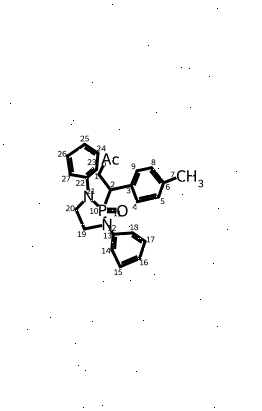 CC(=O)CC(c1ccc(C)cc1)P1(=O)N(c2ccccc2)CCN1c1ccccc1